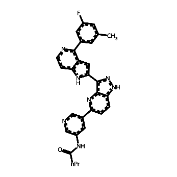 CCCC(=O)Nc1cncc(-c2ccc3[nH]nc(-c4cc5c(-c6cc(C)cc(F)c6)nccc5[nH]4)c3n2)c1